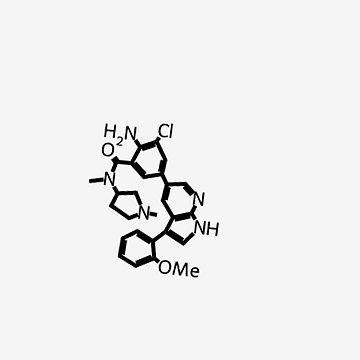 COc1ccccc1-c1c[nH]c2ncc(-c3cc(Cl)c(N)c(C(=O)N(C)C4CCN(C)C4)c3)cc12